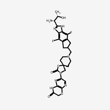 C[C@H](O)[C@@H](N)c1nc2c(F)c3c(c(F)c2[nH]1)CC(CN1CCC2(CC1)CN(c1cnc4c(n1)NC(=O)CO4)C(=O)O2)C3